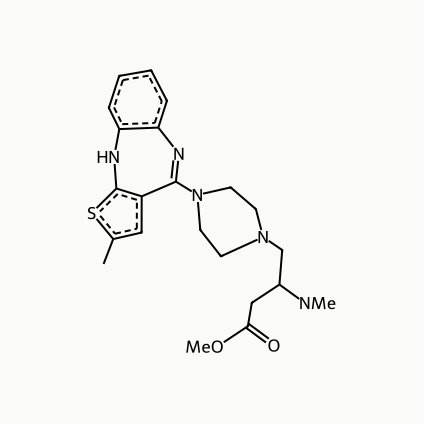 CNC(CC(=O)OC)CN1CCN(C2=Nc3ccccc3Nc3sc(C)cc32)CC1